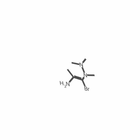 C/C(N)=C(/Br)N(C)N(C)C